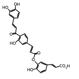 O=C(O)C=Cc1ccc(O)c(OC(=O)C=Cc2ccc(C(=O)C=Cc3ccc(O)c(O)c3)c(O)c2)c1